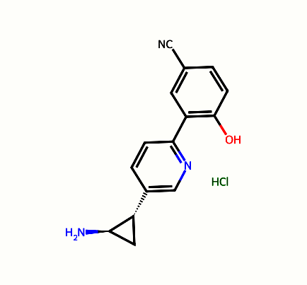 Cl.N#Cc1ccc(O)c(-c2ccc([C@@H]3C[C@H]3N)cn2)c1